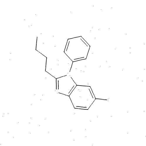 CCCCc1nc2ccc(F)cc2n1-c1c[c]ccc1